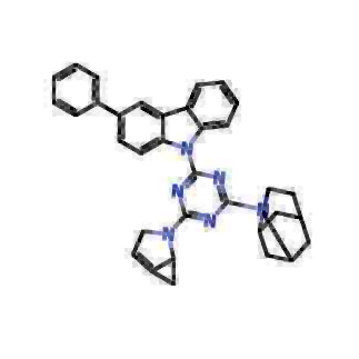 C1=C2CC2N(c2nc(N3C4CC5CC(C4)CC3C5)nc(-n3c4ccccc4c4cc(-c5ccccc5)ccc43)n2)C1